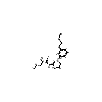 CCCCc1cccc(N2C=C(OC(=O)C(C)CCC)N=CC2)c1